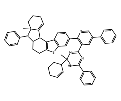 CC1(C2C=CCCC2)N=C(c2cc(-c3ccccc3)cnc2-c2ccc3c4c(sc3c2)CCC2C4C3=CCCCC3(C)N2c2ccccc2)N=C(c2ccccc2)N1